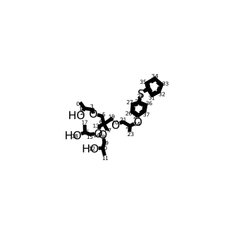 CC(O)COCC(COCC(C)O)(COCC(C)O)COCC(C)Oc1ccc(Sc2ccccc2)cc1